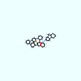 CC1(C)c2ccccc2-c2ccc(N(c3ccccc3)c3cccc(-c4ccc(-c5ccccc5)cc4)c3-c3cccc4c3sc3ccccc34)cc21